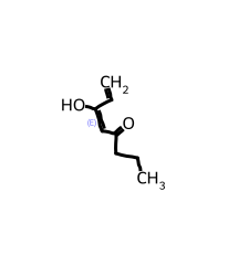 C=C/C(O)=C\C(=O)CCC